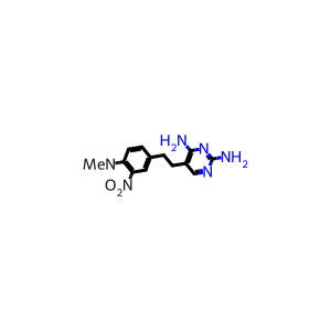 CNc1ccc(CCc2cnc(N)nc2N)cc1[N+](=O)[O-]